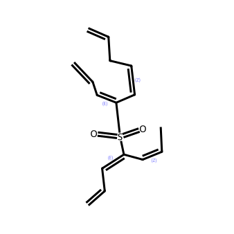 C=C/C=C(\C=C/C)S(=O)(=O)C(/C=C\CC=C)=C/C=C